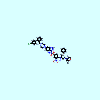 O=[N+]([O-])c1cc(S(=O)(=O)Nc2ncnc3cc(N4CCN(Cc5ccccc5-c5ccc(Cl)cc5)CC4)ccc23)ccc1NC(CCN1C[C@H]2C[C@H]1CO2)CSc1ccccc1